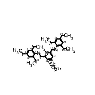 CCc1cc(CC)c(N=Cc2cccc(C=Nc3c(CC)cc(CC)cc3CC)n2)c(CC)c1.[Cl-].[Cl-].[Cl-].[V+3]